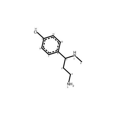 CNC(CCN)c1ccc(Cl)cc1